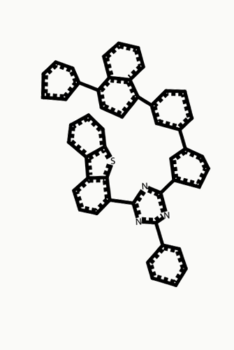 c1ccc(-c2nc(-c3cccc(-c4cccc(-c5ccc(-c6ccccc6)c6ccccc56)c4)c3)nc(-c3cccc4c3sc3ccccc34)n2)cc1